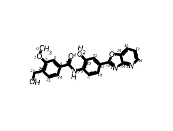 COc1cc(C(=O)Nc2ccc(-c3nc4ncccc4o3)cc2C)ccc1CO